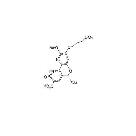 COCCCOc1cc2c(nc1OC)-c1[nH]c(=O)c(C(=O)O)cc1[C@@H](C(C)(C)C)O2